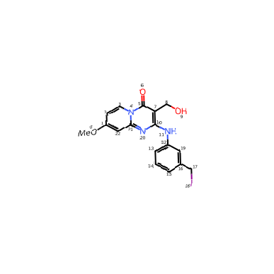 COc1ccn2c(=O)c(CO)c(Nc3cccc(CI)c3)nc2c1